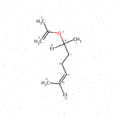 C=C(C)OC(C)(CC)CC/C=C(\C)CC